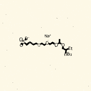 CCCCC(CC)COC(C)OCCOCCOCCCCS(=O)(=O)[O-].[Na+]